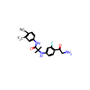 CC(C)(Nc1ccc(C(=O)CN)c(F)c1)C(=O)Nc1ccc(C#N)c(C(F)(F)F)c1